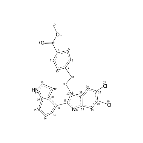 COC(=O)c1ccc(CCn2c(-c3ccnc4[nH]ccc34)nc3cc(Cl)c(Cl)cc32)cc1